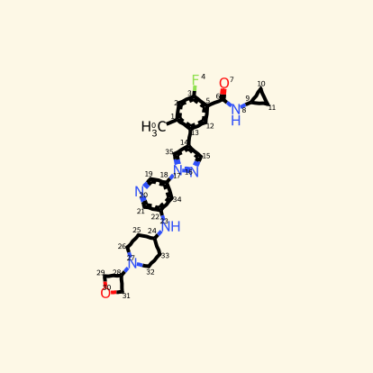 Cc1cc(F)c(C(=O)NC2CC2)cc1-c1cnn(-c2cncc(NC3CCN(C4COC4)CC3)c2)c1